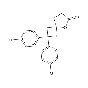 O=C1CCC2(CC(c3ccc(Cl)cc3)(c3ccc(Cl)cc3)O2)O1